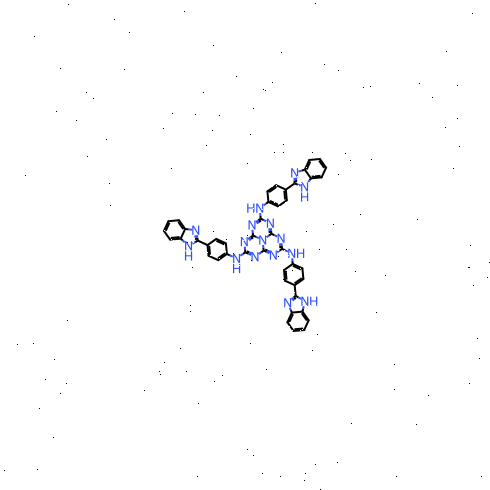 c1ccc2[nH]c(-c3ccc(NC4=NC5=NC(Nc6ccc(-c7nc8ccccc8[nH]7)cc6)=NC6=NC(Nc7ccc(-c8nc9ccccc9[nH]8)cc7)=NC(=N4)N56)cc3)nc2c1